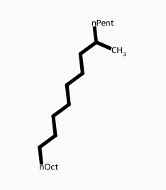 [CH2]CCCCCCCCCCCCCCC(C)CCCC[CH2]